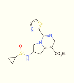 CCOC(=O)C1=C2CC(N[S+]([O-])C3CC3)CN2C(c2nccs2)=NC1